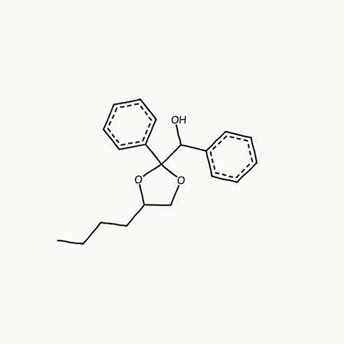 CCCCC1COC(c2ccccc2)(C(O)c2ccccc2)O1